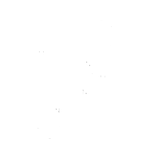 CN(CCc1cccc(C(F)(F)F)n1)[C@@H]1C[C@H](c2cccc(O)c2)N(c2ccc(C(F)(F)F)cc2)C1=O